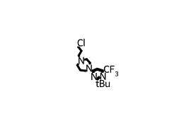 CC(C)(C)c1nc(N2CCCN(CCCCl)CC2)cc(C(F)(F)F)n1